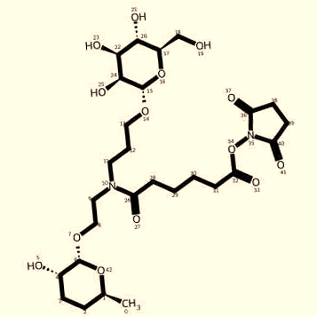 C[C@H]1CC[C@H](O)[C@H](OCCN(CCCO[C@H]2O[C@H](CO)[C@@H](O)[C@H](O)[C@@H]2O)C(=O)CCCCC(=O)ON2C(=O)CCC2=O)O1